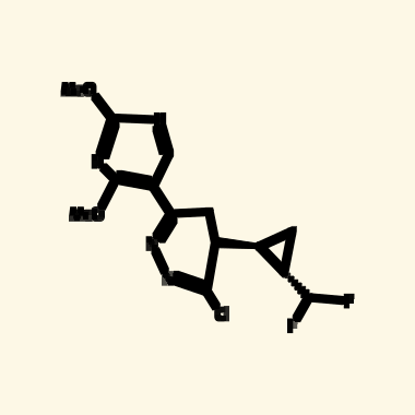 COc1ncc(C2=NN=C(Cl)C([C@H]3C[C@@H]3C(F)F)C2)c(OC)n1